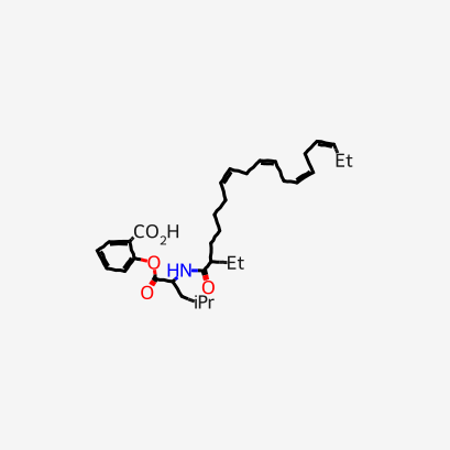 CC/C=C\C/C=C\C/C=C\C/C=C\CCCCC(CC)C(=O)NC(CC(C)C)C(=O)Oc1ccccc1C(=O)O